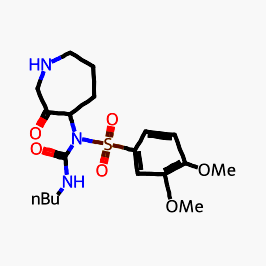 CCCCNC(=O)N(C1CCCNCC1=O)S(=O)(=O)c1ccc(OC)c(OC)c1